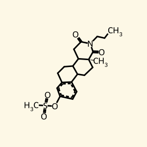 CCCN1C(=O)CC2C3CCc4cc(OS(C)(=O)=O)ccc4C3CC[C@]2(C)C1=O